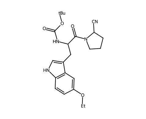 CCOc1ccc2[nH]cc(CC(NC(=O)OC(C)(C)C)C(=O)N3CCCC3C#N)c2c1